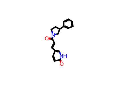 O=C(/C=C/c1ccc(=O)[nH]c1)N1CCC(c2ccccc2)C1